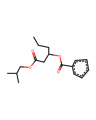 CCCC(CC(=O)OCC(C)C)OC(=O)c1ccccc1